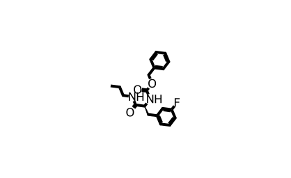 CCCNC(=O)[C@H](Cc1cccc(F)c1)NC(=O)OCc1ccccc1